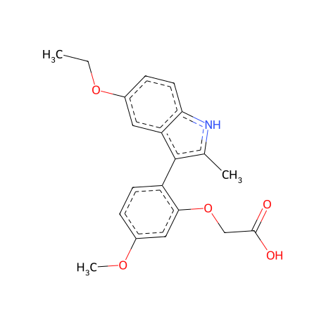 CCOc1ccc2[nH]c(C)c(-c3ccc(OC)cc3OCC(=O)O)c2c1